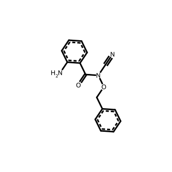 N#CN(OCc1ccccc1)C(=O)c1ccccc1N